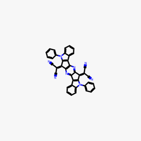 N#CC(C#N)=C1c2nc3c(nc2-c2c1n(-c1ccccc1)c1ccccc21)C(=C(C#N)C#N)c1c-3c2ccccc2n1-c1ccccc1